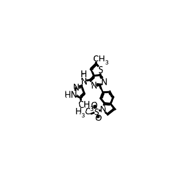 CCS(=O)(=O)n1ccc2ccc(-c3nc(Nc4cc(C)[nH]n4)c4cc(C)sc4n3)cc21